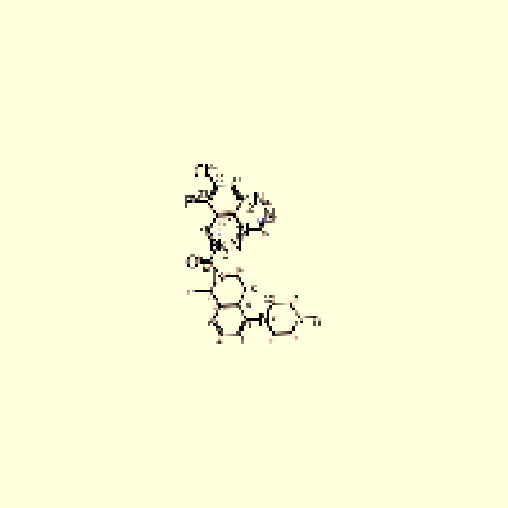 CC1c2cccc(N3CCN(C)CC3)c2CCN1C(=O)/C=C/c1c(N(N)/C=N\N)ccc(Cl)c1F